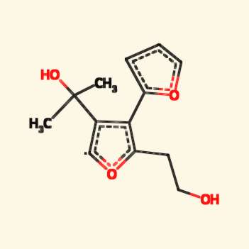 CC(C)(O)c1[c]oc(CCO)c1-c1ccco1